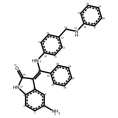 Nc1ccc2c(c1)/C(=C(/Nc1ccc(CNc3ccccc3)cc1)c1ccccc1)C(=O)N2